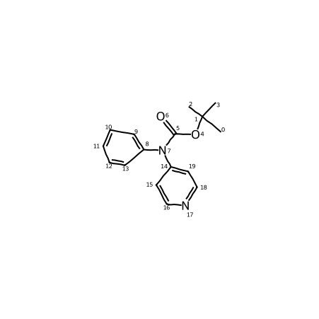 CC(C)(C)OC(=O)N(c1ccccc1)c1ccncc1